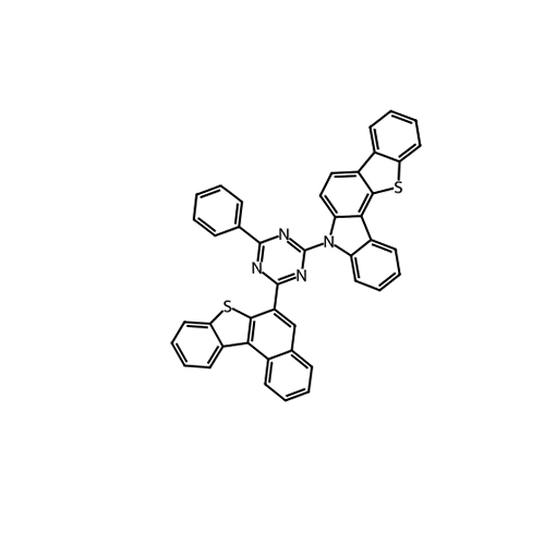 c1ccc(-c2nc(-c3cc4ccccc4c4c3sc3ccccc34)nc(-n3c4ccccc4c4c5sc6ccccc6c5ccc43)n2)cc1